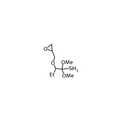 CCC(OCC1CO1)C([SiH3])(OC)OC